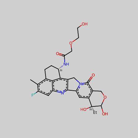 CC[C@]1(O)c2cc3n(c(=O)c2COC1O)Cc1c-3nc2cc(F)c(C)c3c2c1[C@@H](NC(=O)COCCO)CC3